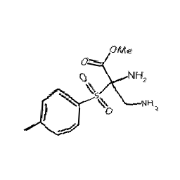 COC(=O)C(N)(CN)S(=O)(=O)c1ccc(C)cc1